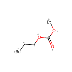 C[CH]OC(=O)OCCC(C)(C)C